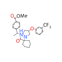 COC(=O)c1ccc(C(C)NC(=O)C2(N3CC[C@@H](Oc4cccc(C(F)(F)F)c4)C3)CCCCC2)cc1